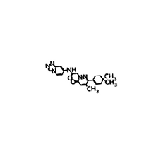 Cc1cc(=O)n(CC(=O)Nc2ccn3cnnc3c2)nc1C1=CCC(C)(C)CC1